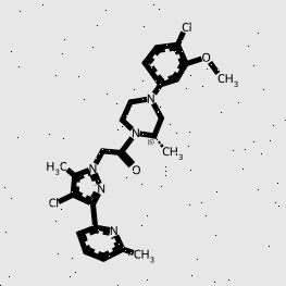 COc1cc(N2CCN(C(=O)Cn3nc(-c4cccc(C)n4)c(Cl)c3C)[C@@H](C)C2)ccc1Cl